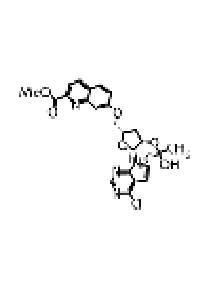 COC(=O)c1ccc2ccc(OC[C@@H]3C[C@@H](OC(C)(C)O)[C@H](n4ccc5c(Cl)ncnc54)O3)cc2n1